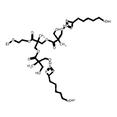 CCCCCCCCCCCCCCCC1P=[SH](OCC(C)(CO)C(=O)OCC(C)(COC(=O)C(C)(CO)CO[SH]2=PC(CCCCCCCCCCCCCCC)P=2)C(=O)OCCOCC)=P1